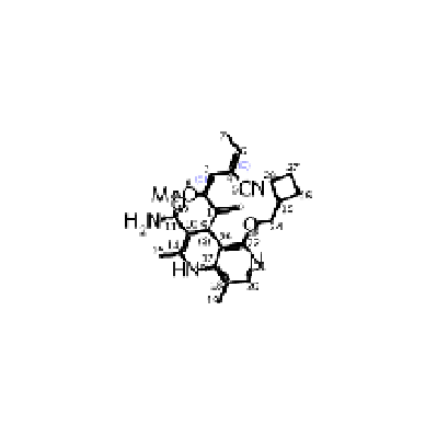 C=C(/C(=C\C(C#N)=C/C)OC)[C@@H]1C(C(N)=O)=C(C)Nc2c(C)cnc(OCC3CCC3)c21